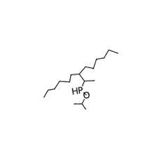 CCCCCCC(CCCCCC)C(C)POC(C)C